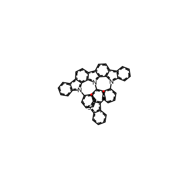 c1ccc(-n2c3ccccc3c3ccc4c5ccc6c7ccccc7n(-c7ccccc7)c6c5n(-c5ccc6c(c5)sc5ccccc56)c4c32)cc1